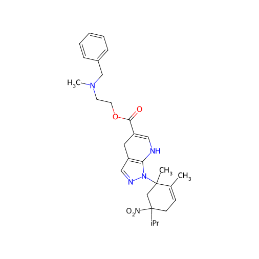 CC1=CCC(C(C)C)([N+](=O)[O-])CC1(C)n1ncc2c1NC=C(C(=O)OCCN(C)Cc1ccccc1)C2